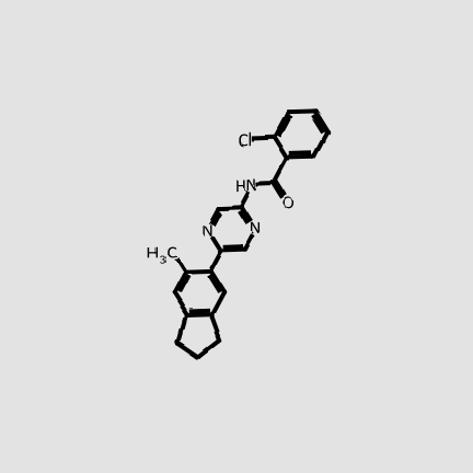 Cc1cc2c(cc1-c1cnc(NC(=O)c3ccccc3Cl)cn1)CCC2